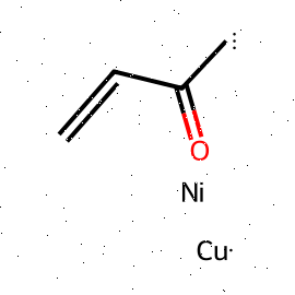 [C]C(=O)C=C.[Cu].[Ni]